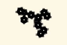 c1ccc(-n2c(-c3ccc(-c4cc(-c5cccc6ccccc56)cc5c4sc4ccc(-c6cccc7ccccc67)cc45)cc3)nc3ccccc32)cc1